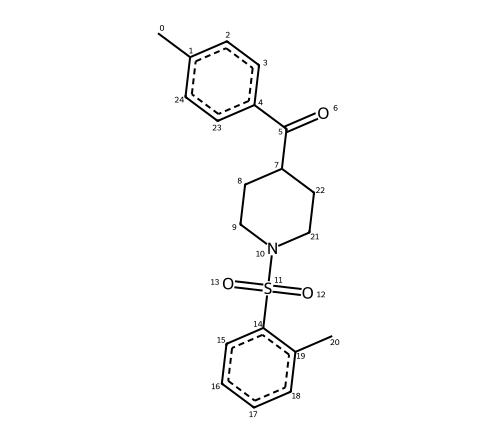 Cc1ccc(C(=O)C2CCN(S(=O)(=O)c3ccccc3C)CC2)cc1